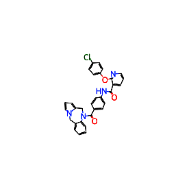 O=C(Nc1ccc(C(=O)N2Cc3cccn3Cc3ccccc32)cc1)c1cccnc1Oc1ccc(Cl)cc1